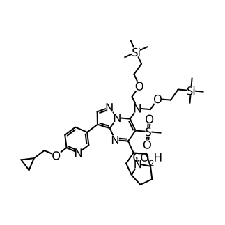 C[Si](C)(C)CCOCN(COCC[Si](C)(C)C)c1c(S(C)(=O)=O)c(C2CC3CCC(C2)N3C(=O)O)nc2c(-c3ccc(OCC4CC4)nc3)cnn12